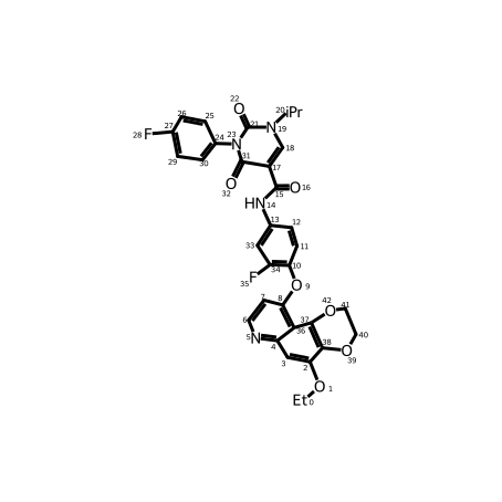 CCOc1cc2nccc(Oc3ccc(NC(=O)c4cn(C(C)C)c(=O)n(-c5ccc(F)cc5)c4=O)cc3F)c2c2c1OCCO2